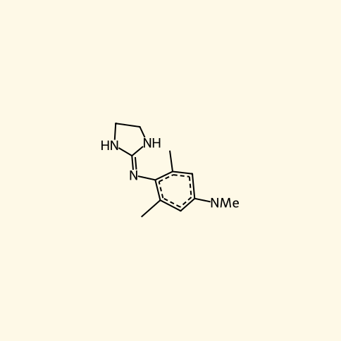 CNc1cc(C)c(N=C2NCCN2)c(C)c1